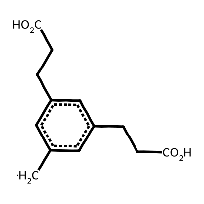 [CH2]c1cc(CCC(=O)O)cc(CCC(=O)O)c1